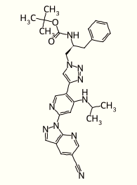 CC(C)Nc1cc(-n2ncc3cc(C#N)cnc32)ncc1-c1cn(C[C@H](Cc2ccccc2)NC(=O)OC(C)(C)C)nn1